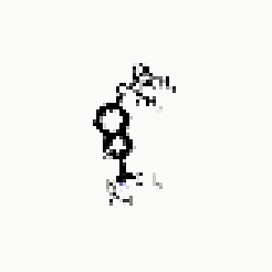 C/C(=N\O)c1cc2cc(O[Si](C)(C)C(C)(C)C)ccc2s1